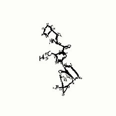 Cc1nc(-n2cnn(CC3CC3(F)F)c2=O)sc1C(=O)NCc1ccccn1